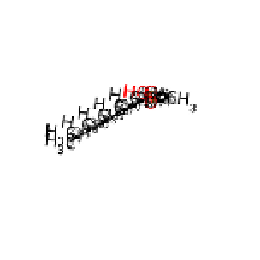 CC(C)=CCC/C(C)=C/CC/C(C)=C/CC/C(C)=C/CC/C(C)=C/C(O)S(=O)(=O)c1ccc(C)cc1